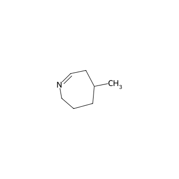 CC1CC=NCCC1